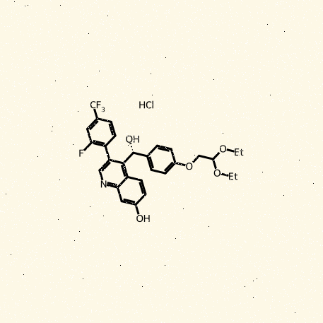 CCOC(COc1ccc([C@@H](O)c2c(-c3ccc(C(F)(F)F)cc3F)cnc3cc(O)ccc23)cc1)OCC.Cl